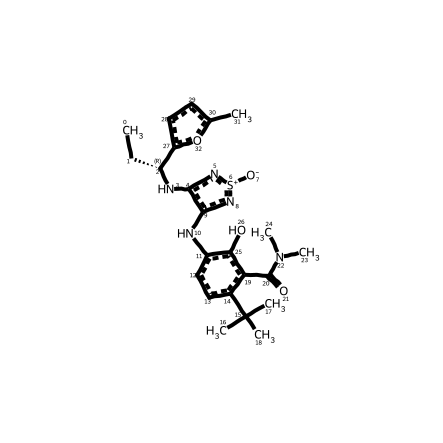 CC[C@@H](Nc1n[s+]([O-])nc1Nc1ccc(C(C)(C)C)c(C(=O)N(C)C)c1O)c1ccc(C)o1